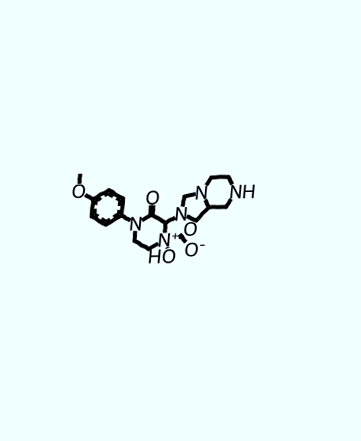 COc1ccc(N2CC[N@@+](O)(C(=O)[O-])C(N3CC4CNCCN4C3)C2=O)cc1